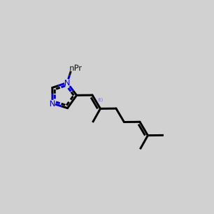 CCCn1cncc1/C=C(\C)CCC=C(C)C